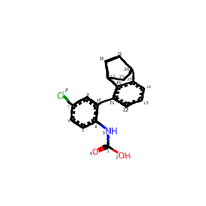 O=C(O)Nc1ccc(Cl)cc1-c1cccc2c1C1CCC2C1